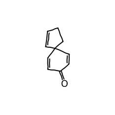 O=C1C=CC2(C=CCC2)C=C1